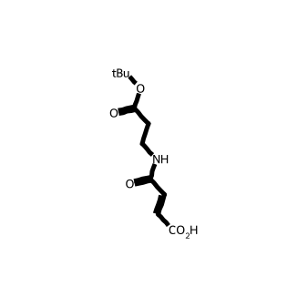 CC(C)(C)OC(=O)CCNC(=O)/C=C/C(=O)O